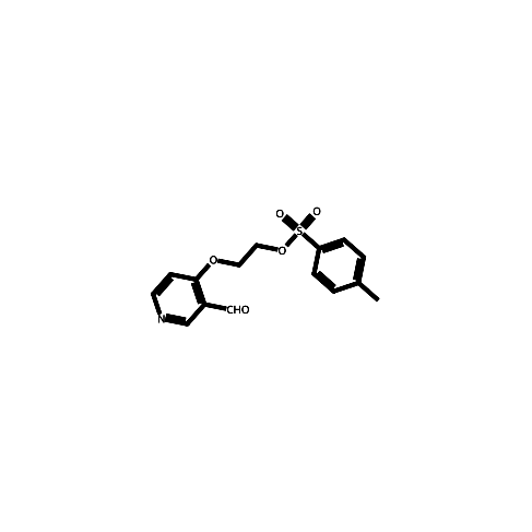 Cc1ccc(S(=O)(=O)OCCOc2ccncc2C=O)cc1